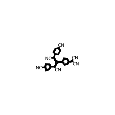 N#CC1=CCC(/C(C#N)=C2\C(=c3ccc(=C(C#N)C#N)cc3)\C2=C(/C#N)c2ccc(C#N)cc2)C=C1